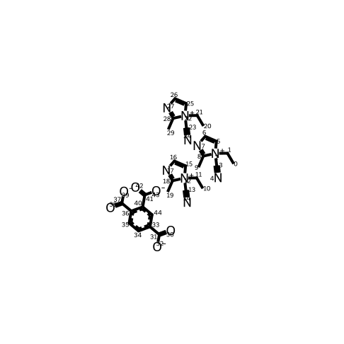 CC[N+]1(C#N)C=CN=C1C.CC[N+]1(C#N)C=CN=C1C.CC[N+]1(C#N)C=CN=C1C.O=C([O-])c1ccc(C(=O)[O-])c(C(=O)[O-])c1